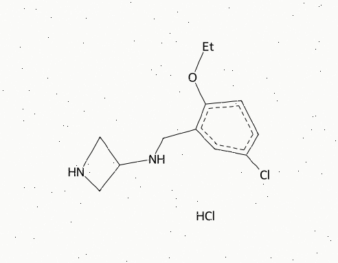 CCOc1ccc(Cl)cc1CNC1CNC1.Cl